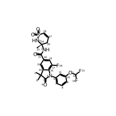 CC1(C)C(=O)N(c2cccc(OC(F)F)c2)c2c(F)cc(C(=O)N[C@@]3(C)CC=CS(=O)(=O)N3)cc21